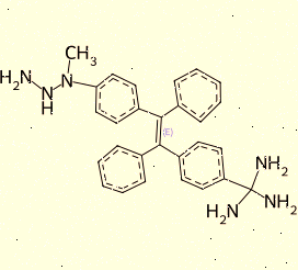 CN(NN)c1ccc(/C(=C(\c2ccccc2)c2ccc(C(N)(N)N)cc2)c2ccccc2)cc1